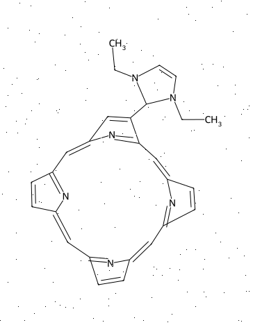 CCN1C=CN(CC)C1C1=CC2=CC3=NC(=CC4=NC(=CC5=NC(=CC1=N2)C=C5)C=C4)C=C3